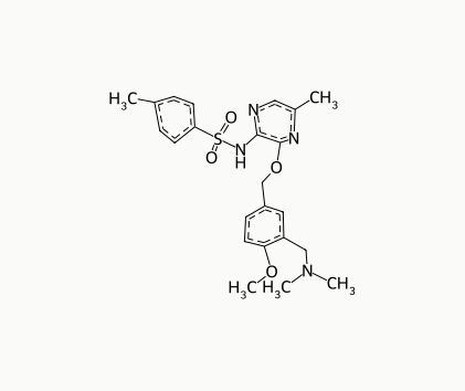 COc1ccc(COc2nc(C)cnc2NS(=O)(=O)c2ccc(C)cc2)cc1CN(C)C